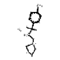 COc1ccc(C(C)(C)[SiH2]CN2CCCC2)cc1.Cl